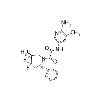 Cc1cc(NC(=O)C(=O)N2C[C@H](C)C(F)(F)C[C@H]2c2ccccc2)cnc1N